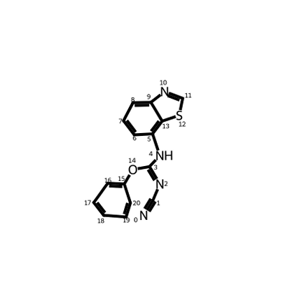 N#C/N=C(/Nc1cccc2ncsc12)Oc1ccccc1